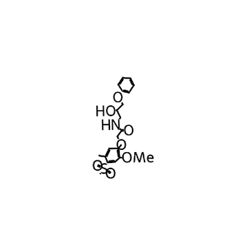 COc1cc(S(C)(=O)=O)c(C)cc1OCC(=O)NCC(O)COc1ccccc1